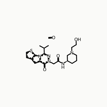 C=O.CC(C)c1nn(CC(=O)N[C@@H]2CCCN(CCO)C2)c(=O)c2cc3ccsc3n12